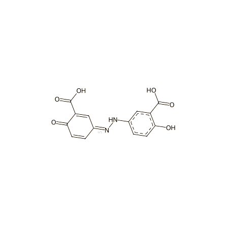 O=C(O)C1=C/C(=N\Nc2ccc(O)c(C(=O)O)c2)C=CC1=O